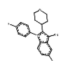 N#Cc1c(C2CCOCC2)n(-c2ccc(F)cc2)c2ccc(O)cc12